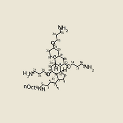 CCCCCCCCNCCCC(C)C1CC[C@H]2C3[C@H](OCCCN)CC4C[C@H](OCCCN)CC[C@]4(C)[C@H]3C[C@H](OCCCN)[C@]12C